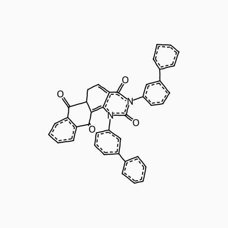 O=C1C2=c3c(c(=O)n(-c4cccc(-c5ccccc5)c4)c(=O)n3-c3cccc(-c4ccccc4)c3)=CCC2C(=O)c2ccccc21